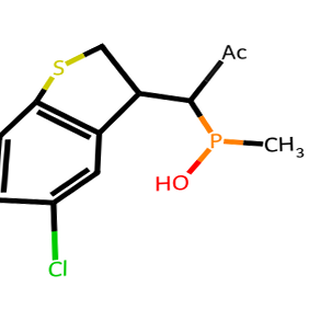 CC(=O)C(C1CSc2ccc(Cl)cc21)P(C)O